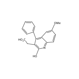 COc1ccc2nc(O)c(CC(=O)O)c(-c3ccccc3)c2c1